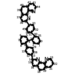 c1ccc(-c2ccccc2-c2ccc(-c3ccc4ccc5cccnc5c4n3)cc2)c(-c2ccc(-c3ccc4ccc5cccnc5c4n3)cc2)c1